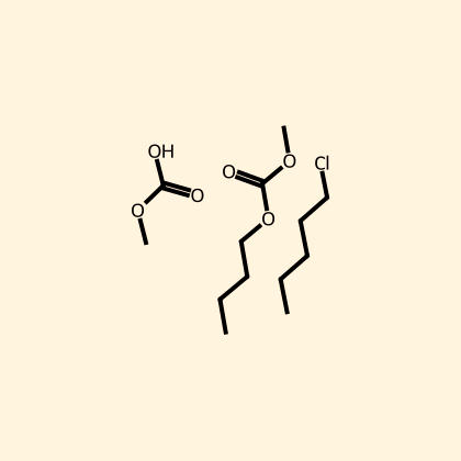 CCCCCCl.CCCCOC(=O)OC.COC(=O)O